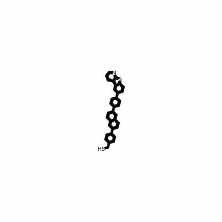 SCc1ccc(-c2ccc3cc(-c4ccc(-c5ccc6sc7ncccc7c6c5)cc4)ccc3c2)cc1